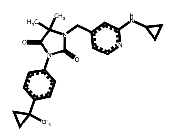 CC1(C)C(=O)N(c2ccc(C3(C(F)(F)F)CC3)cc2)C(=O)N1Cc1ccnc(NC2CC2)c1